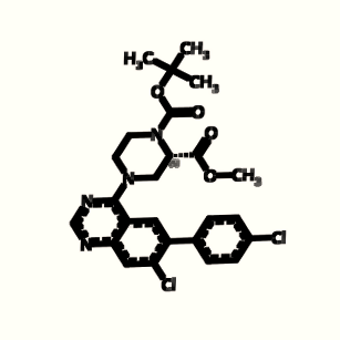 COC(=O)[C@@H]1CN(c2ncnc3cc(Cl)c(-c4ccc(Cl)cc4)cc23)CCN1C(=O)OC(C)(C)C